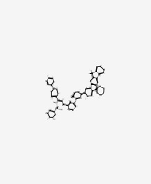 CC1(C)c2ccccc2-c2cc3c(cc21)-c1cc(-c2ccc4oc5c(-c6cc(-c7ccc(-c8ccccc8)cc7)nc(-c7ccccc7)n6)cccc5c4c2)ccc1C31CCCCC1